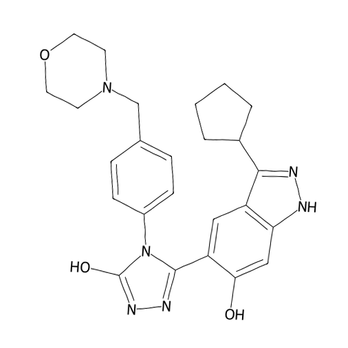 Oc1cc2[nH]nc(C3CCCC3)c2cc1-c1nnc(O)n1-c1ccc(CN2CCOCC2)cc1